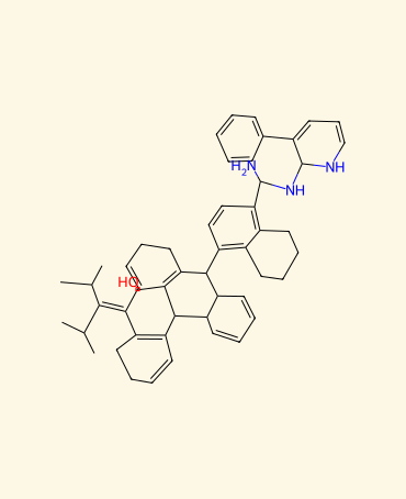 CC(C)C(=C(CO)C1=C(C2C3=C(CCC=C3)C(c3ccc(C(N)NC4NC=CC=C4c4ccccc4)c4c3CCCC4)C3C=CC=CC23)C=CCC1)C(C)C